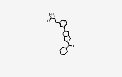 NC(=O)CCc1cccc(N2CC3CN(C(=O)C4CCCCC4)CC3C2)c1